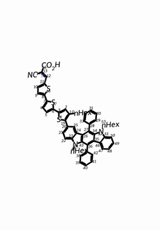 CCCCCCc1cc(-c2ccc(-c3ccc(/C=C(\C#N)C(=O)O)s3)s2)sc1-c1ccc2c(c1)c1c(-c3ccccc3)c3c(c(-c4ccccc4)c1n2CCCCCC)c1ccccc1n3CCCCCC